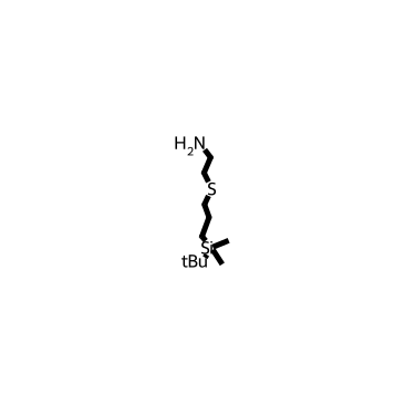 CC(C)(C)[Si](C)(C)CCCSCCN